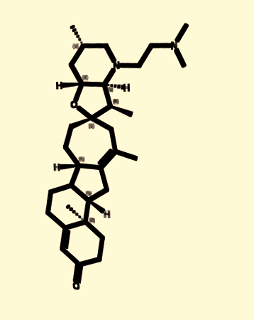 CC1=C2C[C@H]3C(CCC4=CC(=O)CC[C@@]43C)[C@@H]2CC[C@@]2(C1)O[C@@H]1C[C@H](C)CN(CCN(C)C)[C@H]1[C@H]2C